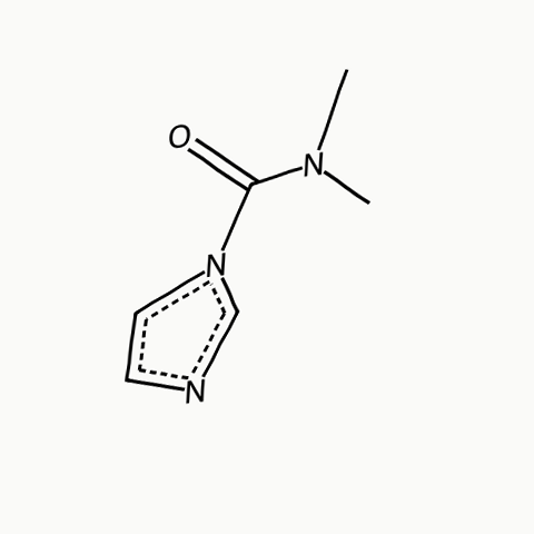 CN(C)C(=O)n1ccnc1